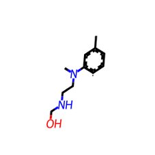 Cc1cc[c]c(N(C)CCNCO)c1